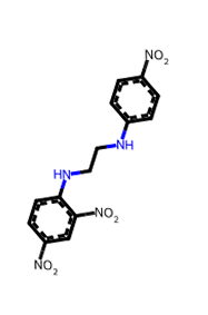 O=[N+]([O-])c1ccc(NCCNc2ccc([N+](=O)[O-])cc2[N+](=O)[O-])cc1